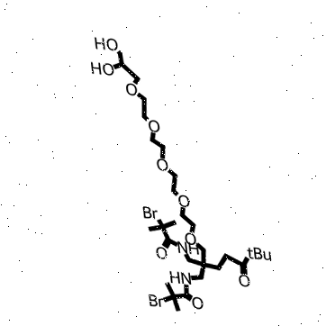 CC(C)(C)C(=O)CCC(CNC(=O)C(C)(C)Br)(CNC(=O)C(C)(C)Br)COCCOCCOCCOCCOCC(O)CO